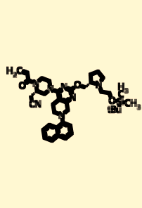 C=CC(=O)N1CCN(c2nc(OC[C@@H]3CCCN3CCO[Si](C)(C)C(C)(C)C)nc3c2CCN(c2cccc4ccccc24)C3)C[C@@H]1CC#N